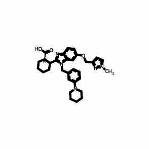 Cn1ccc(COc2ccc3nc(C4CCCC[C@H]4C(=O)O)n(Cc4cccc(N5CCCCC5)c4)c3c2)n1